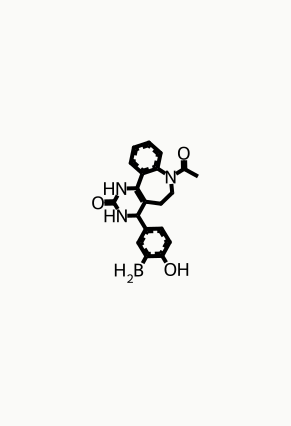 Bc1cc(C2NC(=O)NC3=C2CCN(C(C)=O)c2ccccc23)ccc1O